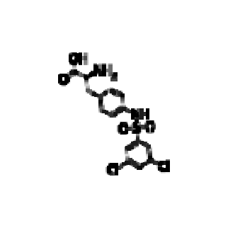 N[C@@H](Cc1ccc(NS(=O)(=O)c2cc(Cl)cc(Cl)c2)cc1)C(=O)O